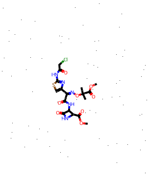 COC(=O)C1NC(=O)C1NC(=O)C(=NOC(C)(C)C(=O)OC)c1csc(NC(=O)CCl)n1